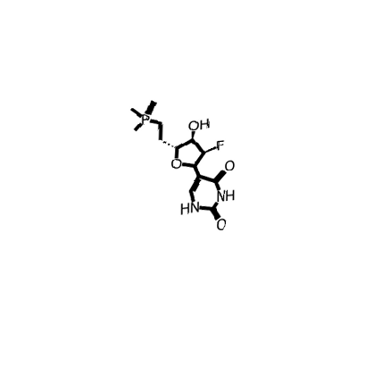 C=P(C)(C)CC[C@H]1OC(c2c[nH]c(=O)[nH]c2=O)[C@H](F)[C@@H]1O